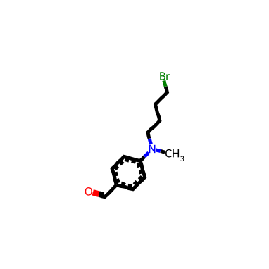 CN(CCCCBr)c1ccc(C=O)cc1